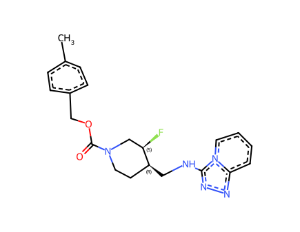 Cc1ccc(COC(=O)N2CC[C@H](CNc3nnc4ccccn34)[C@H](F)C2)cc1